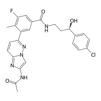 CC(=O)Nc1cn2nc(-c3cc(C(=O)NCC[C@@H](O)c4ccc(Cl)cc4)cc(F)c3C)ccc2n1